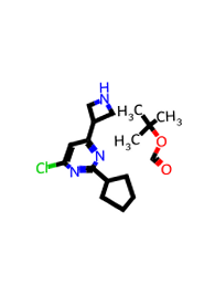 CC(C)(C)OC=O.Clc1cc(C2CNC2)nc(C2CCCC2)n1